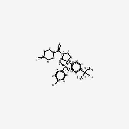 O=C1CCC(C(=O)N2CC[C@](c3ccc(C(F)(C(F)(F)F)C(F)(F)F)cc3)(S(=O)(=O)c3ccc(F)cc3)C2)CC1